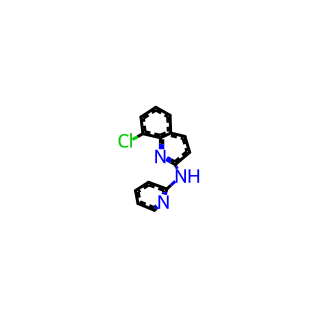 Clc1cccc2ccc(Nc3ccccn3)nc12